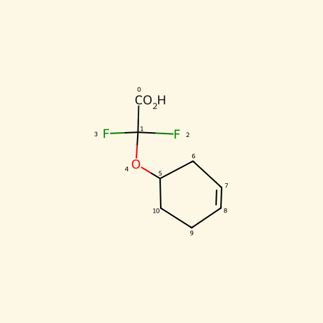 O=C(O)C(F)(F)OC1CC=CCC1